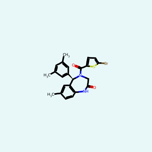 Cc1cc(C)cc([C@@H]2c3cc(C)ccc3NC(=O)CN2C(=O)c2ccc(Br)s2)c1